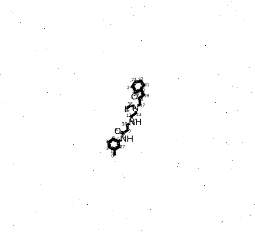 Cc1cccc(NC(=O)CCNCCN(CI)Cc2cc3ccccc3o2)c1